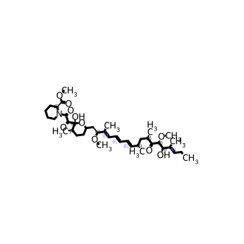 CC/C=C(\C)[C@@H](O)[C@@H](OC)C(=O)[C@H](C)C[C@H](C)/C=C/C=C/C=C(\C)[C@H](CC1CC[C@@H](C)[C@](O)(C(=O)C(=O)N2CCCC[C@H]2C(=O)OC)O1)OC